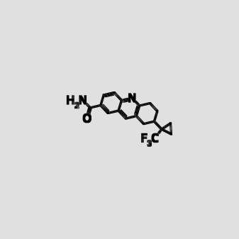 NC(=O)c1ccc2nc3c(cc2c1)CC(C1(C(F)(F)F)CC1)CC3